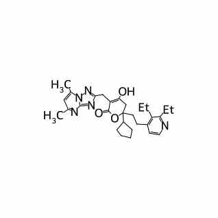 CCc1nccc(CCC2(C3CCCC3)CC(O)=C(Cc3nc4nc(C)cc(C)n4n3)C(=O)O2)c1CC